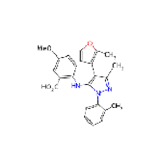 COc1ccc(Nc2c(-c3ccoc3C)c(C)nn2-c2ccccc2C)c(C(=O)O)c1